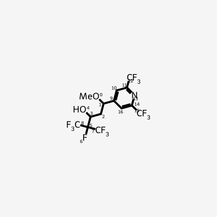 COC(CC(O)C(F)(C(F)(F)F)C(F)(F)F)c1cc(C(F)(F)F)nc(C(F)(F)F)c1